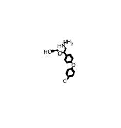 C#CCOC(CNN)c1ccc(Oc2ccc(Cl)cc2)cc1